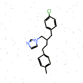 Cc1ccc(CCC(Cc2ccc(Cl)cc2)Cn2ccnc2)cc1